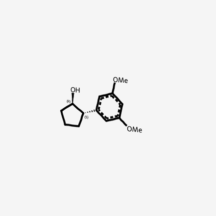 COc1cc(OC)cc([C@@H]2CCC[C@H]2O)c1